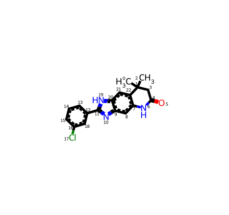 CC1(C)CC(=O)Nc2cc3nc(-c4cccc(Cl)c4)[nH]c3cc21